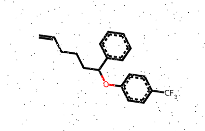 C=CCCCC(Oc1ccc(C(F)(F)F)cc1)c1ccccc1